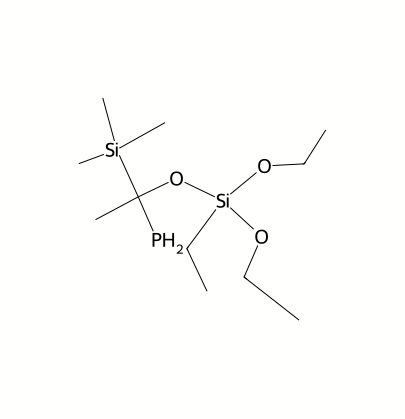 CCO[Si](CC)(OCC)OC(C)(P)[Si](C)(C)C